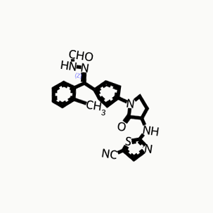 Cc1ccccc1/C(=N\NC=O)c1ccc(N2CCC(Nc3ncc(C#N)s3)C2=O)cc1